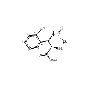 COC(=O)[C@H](N)[C@H](N[S@+]([O-])C(C)(C)C)c1ccccc1F